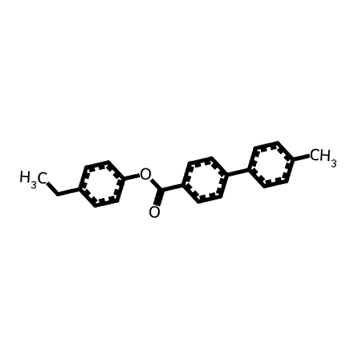 CCc1ccc(OC(=O)c2ccc(-c3ccc(C)cc3)cc2)cc1